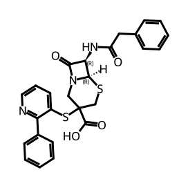 O=C(Cc1ccccc1)N[C@@H]1C(=O)N2CC(Sc3cccnc3-c3ccccc3)(C(=O)O)CS[C@H]12